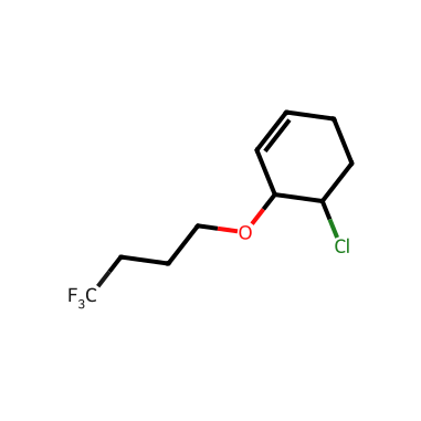 FC(F)(F)CCCOC1C=CCCC1Cl